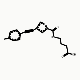 Cc1ccc(C#Cc2coc(C(=O)NCCCC(=O)O)c2)cc1